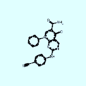 N#Cc1ccc(Nc2ncc3c(=O)c(C(N)=O)cn(-c4ccccc4)c3n2)cc1